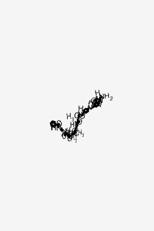 C[C@H](CCC(=O)NCCOC(C)(C)CCOC(C)(C)CCC(=O)NCCNC(=O)c1ccccc1)NC(=O)c1ccc(NCc2cnc3nc(N)[nH]c(=O)c3n2)cc1